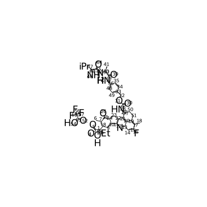 CC[C@@]1(O)C(=O)OCC2=C1C=C1c3nc4cc(F)c(C)c5c4c(c3CC1C2=O)[C@@H](NC(=O)OCc1ccc(NC(=O)[C@H](C)NC(=O)[C@@H](N)C(C)C)cc1)CC5.O=C(O)C(F)(F)F